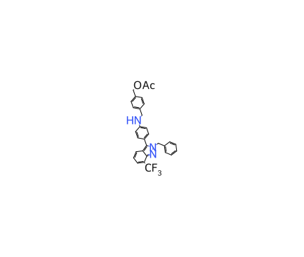 CC(=O)OCc1ccc(CNc2ccc(-c3c4cccc(C(F)(F)F)c4nn3Cc3ccccc3)cc2)cc1